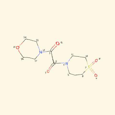 O=C(C(=O)N1CCS(=O)(=O)CC1)N1CCOCC1